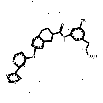 O=C(O)NCc1cc(NC(=O)C2CCc3ccc(Oc4ccnc(-c5cnco5)c4)cc3C2)cc(C(F)(F)F)c1